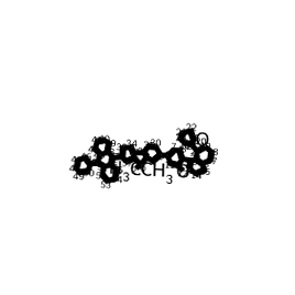 CC1(C)c2cc(-c3ccc4c(c3)oc3ccc5ccc6oc7ccccc7c6c5c34)ccc2-c2ccc(-c3c4ccccc4c(-c4ccccc4)c4ccccc34)cc21